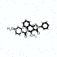 Cc1c2c(=O)n(-c3ccccc3)nc-2c2ccccc2n1C(=O)N1CCN(C)CC1